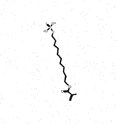 C=C(C)C(=O)OCCCCCCCCCCCOP(O)(O)=S